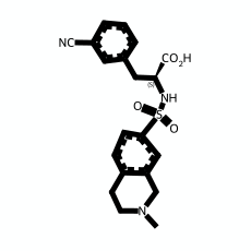 CN1CCc2ccc(S(=O)(=O)N[C@@H](Cc3cccc(C#N)c3)C(=O)O)cc2C1